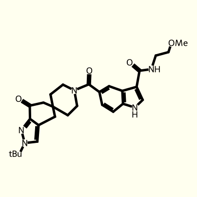 COCCNC(=O)c1c[nH]c2ccc(C(=O)N3CCC4(CC3)CC(=O)c3nn(C(C)(C)C)cc3C4)cc12